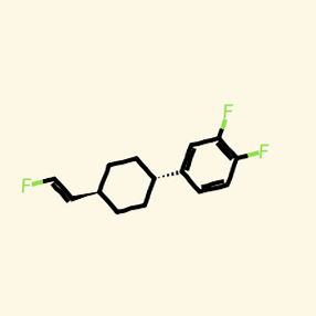 FC=C[C@H]1CC[C@H](c2ccc(F)c(F)c2)CC1